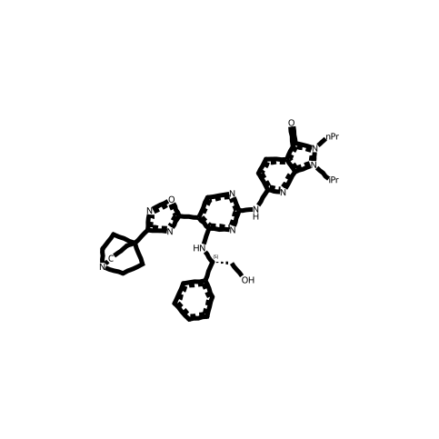 CCCn1c(=O)c2ccc(Nc3ncc(-c4nc(C56CCN(CC5)CC6)no4)c(N[C@H](CO)c4ccccc4)n3)nc2n1C(C)C